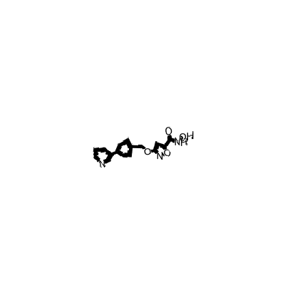 O=C(NO)c1cc(OCc2ccc(-c3cccnc3)cc2)no1